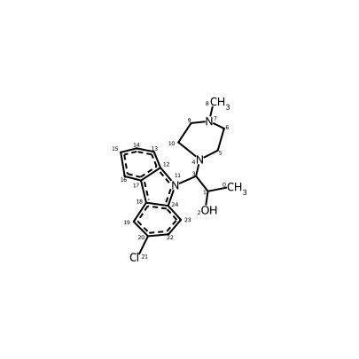 CC(O)C(N1CCN(C)CC1)n1c2ccccc2c2cc(Cl)ccc21